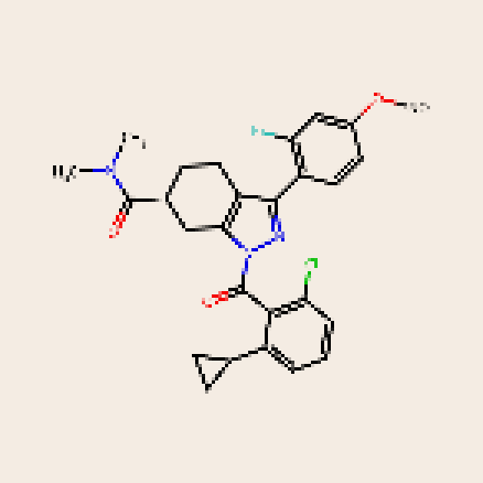 CN(C)C(=O)[C@H]1CCc2c(-c3ccc(ON=O)cc3F)nn(C(=O)c3c(Cl)cccc3C3CC3)c2C1